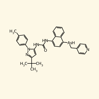 Cc1ccc(-n2nc(C(C)(C)C)cc2NC(=O)Nc2ccc([AsH]Cc3ccncc3)c3ccccc23)cc1